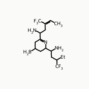 BC1CC(C(N)C/C(=C\C)C(F)(F)F)=NC(C(N)CC(CC)C(F)(F)F)C1